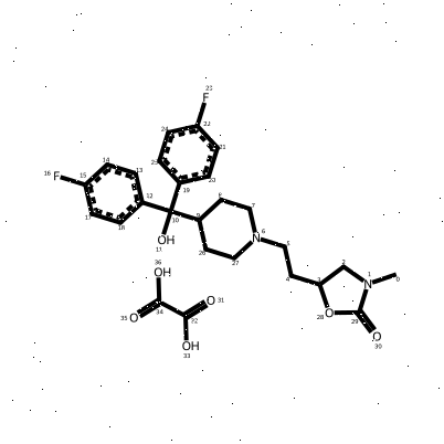 CN1CC(CCN2CCC(C(O)(c3ccc(F)cc3)c3ccc(F)cc3)CC2)OC1=O.O=C(O)C(=O)O